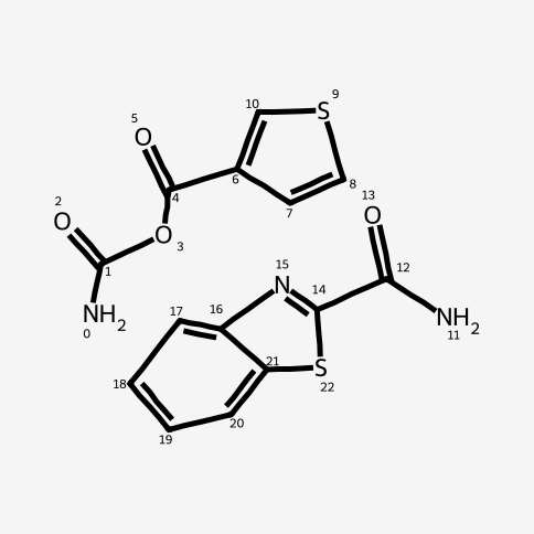 NC(=O)OC(=O)c1ccsc1.NC(=O)c1nc2ccccc2s1